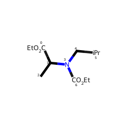 CCOC(=O)C(C)N(CC(C)C)C(=O)OCC